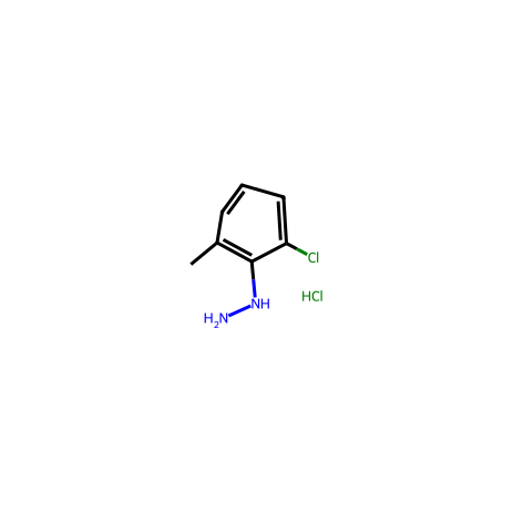 Cc1cccc(Cl)c1NN.Cl